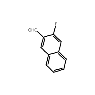 O=Cc1cc2ccccc2cc1F